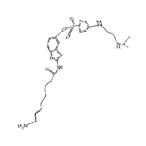 CC(C)NCCNc1ccc(S(=O)(=O)Oc2ccc3nc(NC(=O)CCCCCCCN)sc3c2)cc1